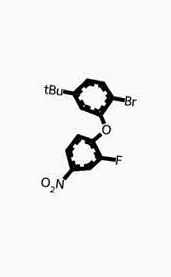 CC(C)(C)c1ccc(Br)c(Oc2ccc([N+](=O)[O-])cc2F)c1